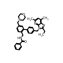 CCc1nc2c(C)cc(C)nc2n1Cc1ccc(-c2cc(CN3CCOCC3)ccc2CNC(=O)c2ccccc2)cc1